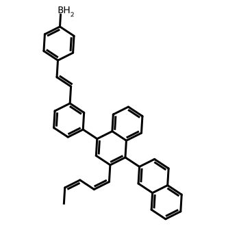 Bc1ccc(/C=C/c2cccc(-c3cc(/C=C\C=C/C)c(-c4ccc5ccccc5c4)c4ccccc34)c2)cc1